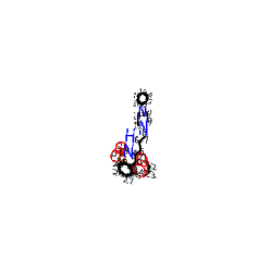 O=S1(=O)NC(CCCN2CCN(c3ccccc3)CC2)C2(OCCO2)c2ccccc21